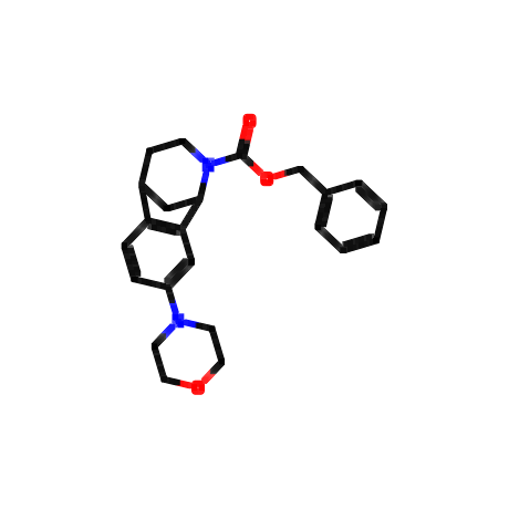 O=C(OCc1ccccc1)N1CCC2CC1c1cc(N3CCOCC3)ccc12